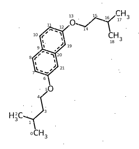 CC(C)CCOc1ccc2ccc(OCCC(C)C)cc2c1